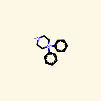 c1ccc([N+]2(c3ccccc3)CCNCC2)cc1